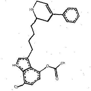 O=C(O)Oc1ccc(Cl)c2[nH]cc(CCCCC3CC(c4ccccc4)=CCN3)c12